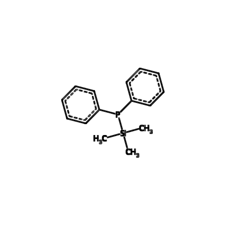 C[Si](C)(C)P(c1ccccc1)c1ccccc1